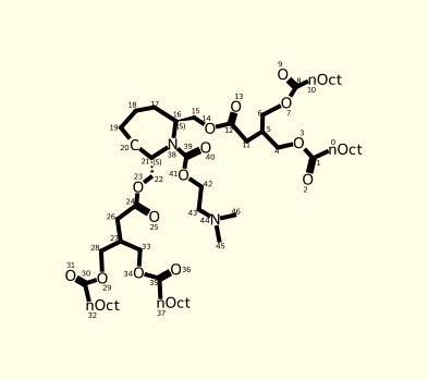 CCCCCCCCC(=O)OCC(COC(=O)CCCCCCCC)CC(=O)OC[C@@H]1CCCC[C@@H](COC(=O)CC(COC(=O)CCCCCCCC)COC(=O)CCCCCCCC)N1C(=O)OCCN(C)C